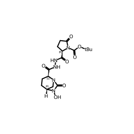 CC(C)(C)OC(=O)N1C(=O)CC[C@@H]1C(=O)NNC(=O)[C@@H]1CC[C@@H]2CN1C(=O)N2O